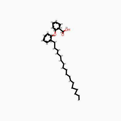 CCCCCCCCCCCCCCCCCCc1ccccc1Oc1ccccc1C(=O)O